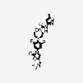 Cc1cc(NC(=O)N2CCN(c3c(F)cc(N4C[C@H](CN)OC4=O)cc3F)CCO2)no1